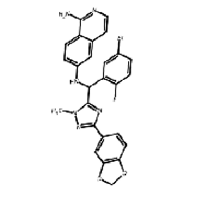 CCc1ccc(F)c(C(Nc2ccc3c(N)nccc3c2)c2nc(-c3ccc4c(c3)OCO4)nn2C)c1